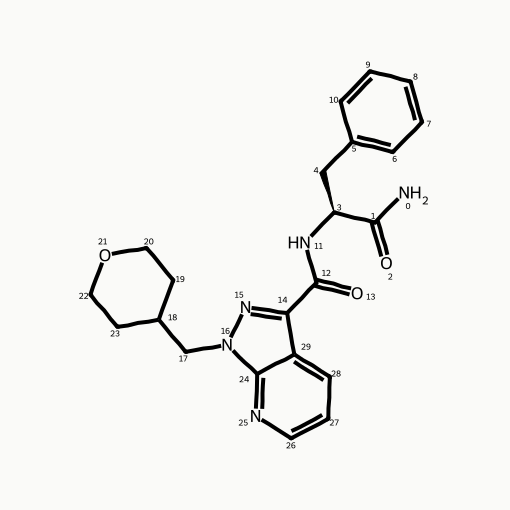 NC(=O)[C@H](Cc1ccccc1)NC(=O)c1nn(CC2CCOCC2)c2ncccc12